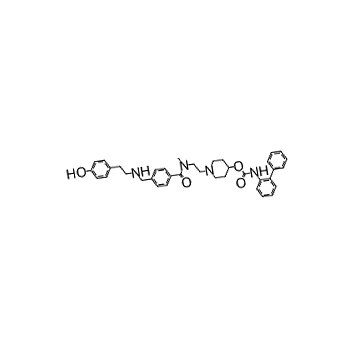 CN(CCN1CCC(OC(=O)Nc2ccccc2-c2ccccc2)CC1)C(=O)c1ccc(CNCCc2ccc(O)cc2)cc1